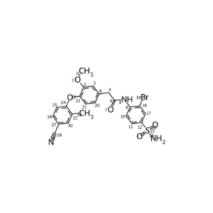 COc1cc(CC(=O)Nc2ccc(S(N)(=O)=O)cc2Br)ccc1Oc1ccc(C#N)cc1C